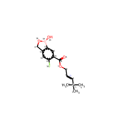 C[Si](C)(C)/C=C/COC(=O)c1cc2c(cc1F)COB2O